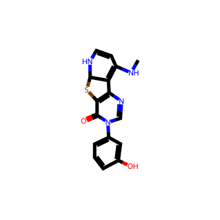 CNC1=C2c3ncn(-c4cccc(O)c4)c(=O)c3SC2NC=C1